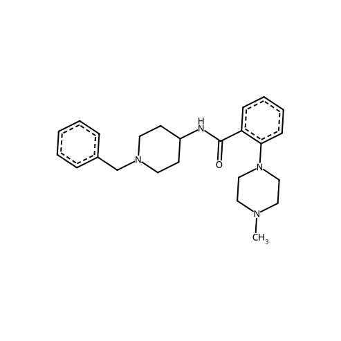 CN1CCN(c2ccccc2C(=O)NC2CCN(Cc3ccccc3)CC2)CC1